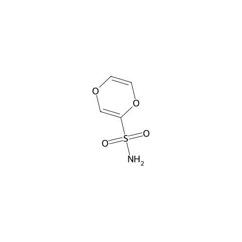 NS(=O)(=O)C1=COC=CO1